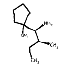 CC[C@H](C)[C@H](N)C1(O)CCCC1